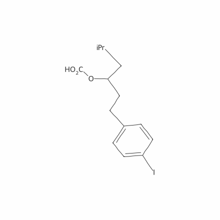 CC(C)CC(CCc1ccc(I)cc1)OC(=O)O